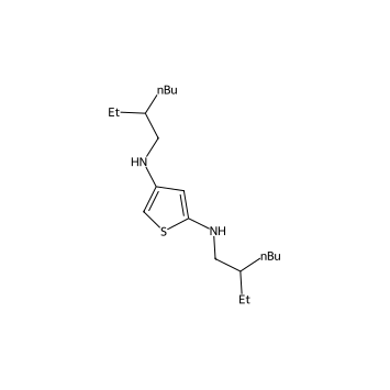 CCCCC(CC)CNc1csc(NCC(CC)CCCC)c1